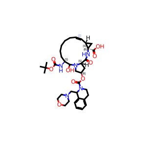 CC(C)(C)OC(=O)N[C@H]1CCCCC/C=C\[C@@H]2C[C@@]2(C(=O)O)NC(=O)[C@@H]2C[C@@H](OC(=O)N3CCc4ccccc4C3CN3CCOCC3)CN2C1O